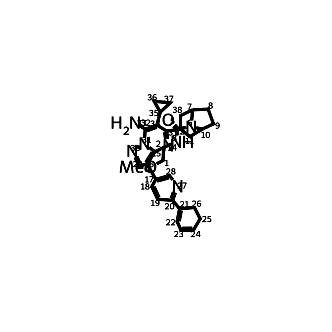 COCCNC(=O)N1C2CCC1CC(c1nc3c(-c4ccc(C5=CC=CCC5)nc4)cnn3c(N)c1C1CC1)C2